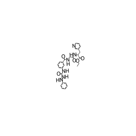 CCOC(=O)C(Cc1cccnc1)NC(=O)CNC(=O)c1cccc(NC(=O)NNc2ccccc2)c1